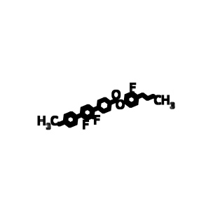 CCCCc1ccc(OC(=O)C2CCC(c3ccc(-c4ccc(CC)cc4)c(F)c3F)CC2)cc1F